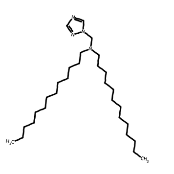 CCCCCCCCCCCCCN(CCCCCCCCCCCCC)Cn1cncn1